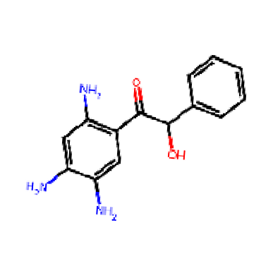 Nc1cc(N)c(C(=O)C(O)c2ccccc2)cc1N